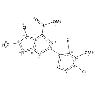 COC(=O)c1nc(-c2ccc(Cl)c(OC)c2F)nc2[nH]c(C)c(C)c12